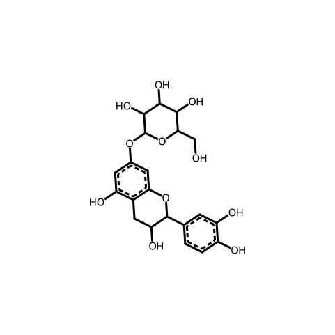 OCC1OC(Oc2cc(O)c3c(c2)OC(c2ccc(O)c(O)c2)C(O)C3)C(O)C(O)C1O